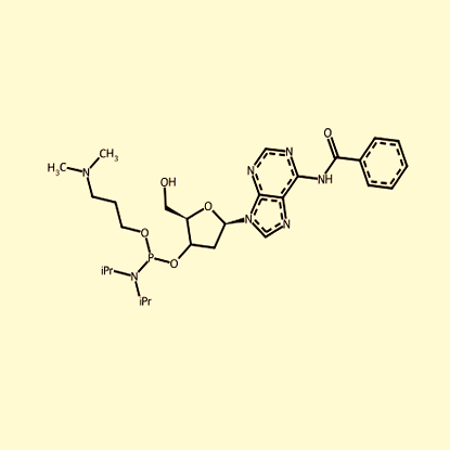 CC(C)N(C(C)C)P(OCCCN(C)C)OC1C[C@H](n2cnc3c(NC(=O)c4ccccc4)ncnc32)O[C@@H]1CO